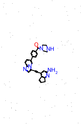 Nc1cc(C#Cc2cnc3ccc(-c4ccc(C(=O)N5CCNCC5)cc4)cn23)c2c(n1)CC=C2